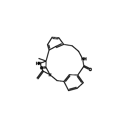 C=C1NC2(C)C(=O)N1Cc1cccc(c1)C(=O)NCCc1cccc2c1